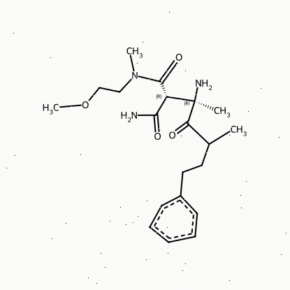 COCCN(C)C(=O)[C@@H](C(N)=O)[C@@](C)(N)C(=O)C(C)CCc1ccccc1